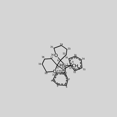 C[SiH](c1ccccc1)C1(C2([SiH2]c3ccccc3)CCCCO2)CCCCO1